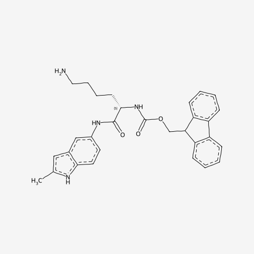 Cc1cc2cc(NC(=O)[C@H](CCCCN)NC(=O)OCC3c4ccccc4-c4ccccc43)ccc2[nH]1